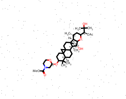 COC(=O)N1CCO[C@@H](OC2CCC34CC35CCC3(C)[C@@H]6C(OC([C@H](OC(C)=O)C(C)(C)O)C[C@H]6C)[C@H](O)[C@@]3(C)C5CC[C@H]4C2(C)C)C1